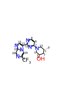 C[C@@H]1C[C@@H](O)CN(c2ccnc(-c3cnc4cnc(C(F)(F)F)cn34)n2)C1